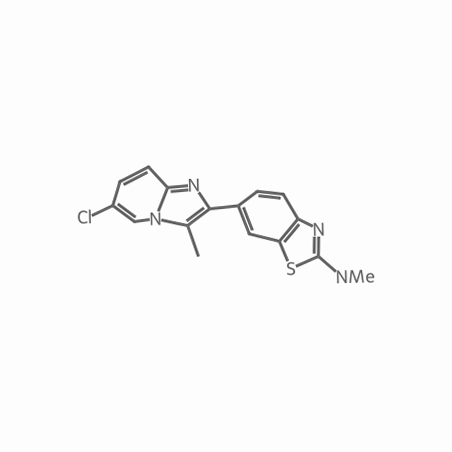 CNc1nc2ccc(-c3nc4ccc(Cl)cn4c3C)cc2s1